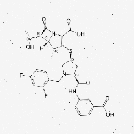 C[C@@H](O)[C@H]1C(=O)N2C(C(=O)O)=C(S[C@H]3C[C@@H](C(=O)Nc4cccc(C(=O)O)c4)N(Cc4ccc(F)cc4F)C3)[C@H](C)[C@H]12